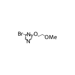 COCCOc1cncc(Br)n1